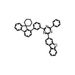 c1ccc(-c2nc(-c3cccc(-c4cccc5c4C4(CCCCC4)c4ccccc4-5)c3)nc(-c3ccc4c(c3)oc3ccccc34)n2)cc1